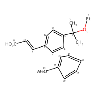 CCOC(C)(C)c1ccc(C=CC(=O)O)cc1.COc1ccccc1